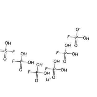 O=P(O)(O)F.O=P(O)(O)F.O=P(O)(O)F.O=P(O)(O)F.O=P([O-])(O)F.O=S(=O)(O)F.[Li+]